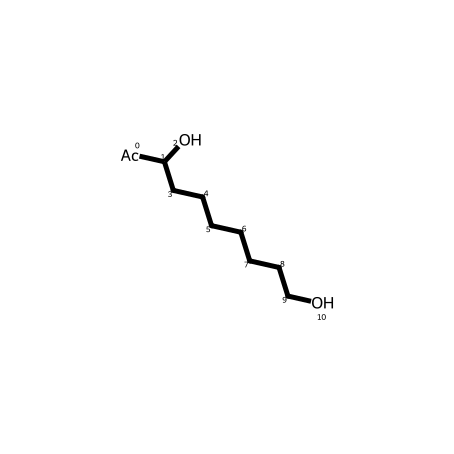 CC(=O)C(O)CCCCCCCO